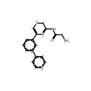 NCC(=O)NC1=NC(c2cccc(-c3ccncc3)c2)=CSC1